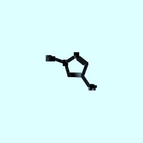 CCC(C)n1cc(C(C)C)cn1